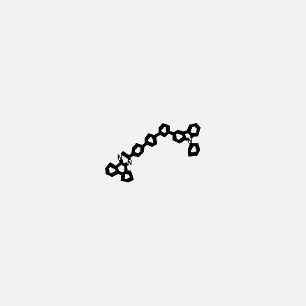 c1ccc(-n2c3ccccc3c3cc(-c4cccc(-c5ccc(-c6ccc(-c7cnc8c9ccccc9c9ccccc9c8n7)cc6)cc5)c4)ccc32)cc1